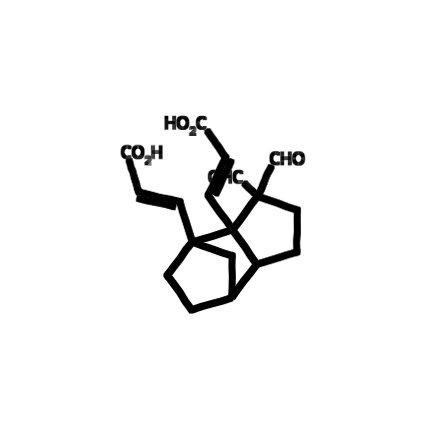 O=CC1(C=O)CCC2C3CCC(C=CC(=O)O)(C3)C21C=CC(=O)O